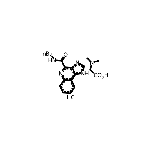 CCCCNC(=O)c1nc2ccccc2c2[nH]cnc12.CN(C)CC(=O)O.Cl